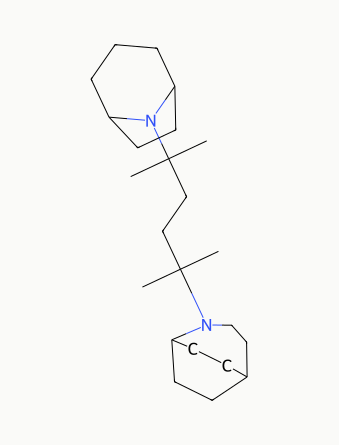 CC(C)(CCC(C)(C)N1C2CCCC1CC2)N1CCC2CCC1CC2